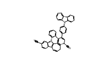 N#Cc1ccc2c3c(n(-c4ccccc4C4=CCC(C#N)C=C4c4ccc(-n5c6ccccc6c6ccccc65)cc4)c2c1)C=CCC=C3